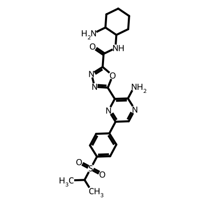 CC(C)S(=O)(=O)c1ccc(-c2cnc(N)c(-c3nnc(C(=O)NC4CCCCC4N)o3)n2)cc1